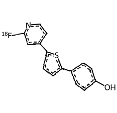 Oc1ccc(-c2ccc(-c3ccnc([18F])c3)s2)cc1